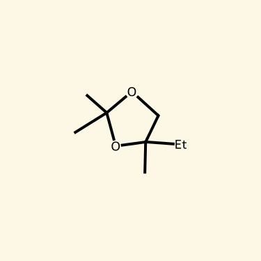 CCC1(C)COC(C)(C)O1